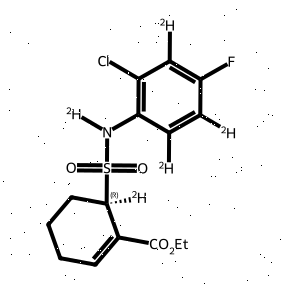 [2H]c1c([2H])c(N([2H])S(=O)(=O)[C@]2([2H])CCCC=C2C(=O)OCC)c(Cl)c([2H])c1F